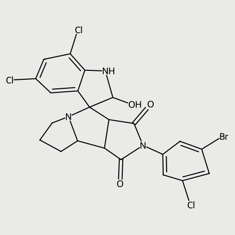 O=C1C2C3CCCN3C3(c4cc(Cl)cc(Cl)c4NC3O)C2C(=O)N1c1cc(Cl)cc(Br)c1